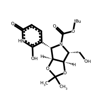 CC(C)(C)OC(=O)N1[C@H](CO)[C@H]2OC(C)(C)O[C@H]2[C@@H]1c1ccc(=O)[nH]c1O